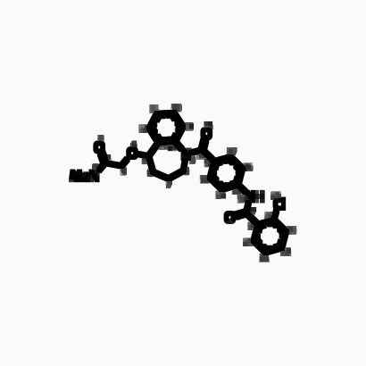 CNC(=O)COC1CCCN(C(=O)c2ccc(NC(=O)c3ccccc3Cl)cc2)c2ccccc21